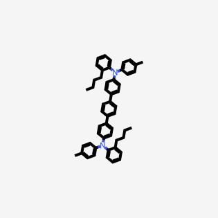 CCCCc1ccccc1N(c1ccc(C)cc1)c1ccc(-c2ccc(-c3ccc(N(c4ccc(C)cc4)c4ccccc4CCCC)cc3)cc2)cc1